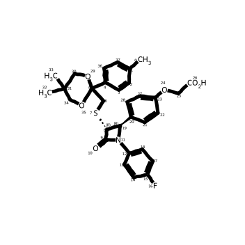 Cc1ccc(C2(CS[C@H]3C(=O)N(c4ccc(F)cc4)[C@@H]3c3ccc(OCC(=O)O)cc3)OCC(C)(C)CO2)cc1